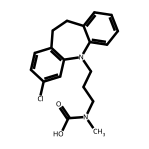 CN(CCCN1c2ccccc2CCc2ccc(Cl)cc21)C(=O)O